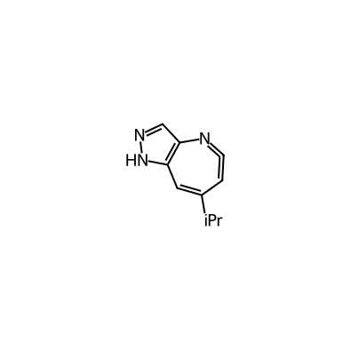 CC(C)C1=Cc2[nH]ncc2N=C=C1